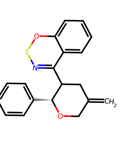 C=C1CO[C@H](c2ccccc2)C(C2=NSOc3ccccc32)C1